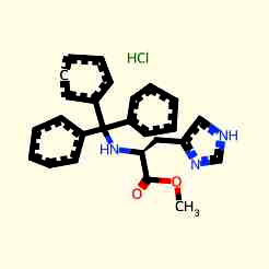 COC(=O)[C@H](Cc1c[nH]cn1)NC(c1ccccc1)(c1ccccc1)c1ccccc1.Cl